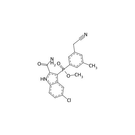 COP(=O)(c1cc(C)cc(CC#N)c1)c1c(C(N)=O)[nH]c2ccc(Cl)cc12